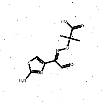 CC(C)(ON=C([C]=O)c1csc(N)n1)C(=O)O